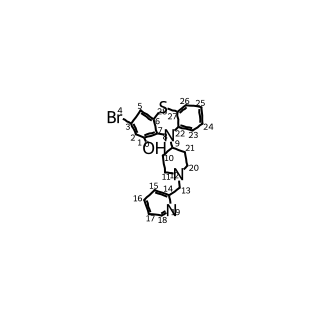 Oc1cc(Br)cc2c1N(C1CCN(Cc3ccccn3)CC1)c1ccccc1S2